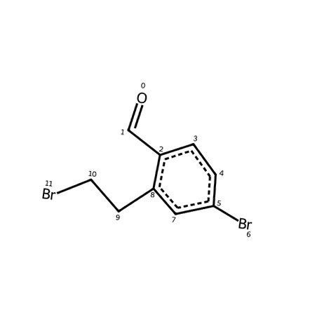 O=Cc1ccc(Br)cc1CCBr